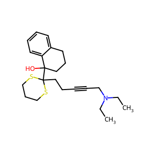 CCN(CC)CC#CCCC1(C2(O)CCCc3ccccc32)SCCCS1